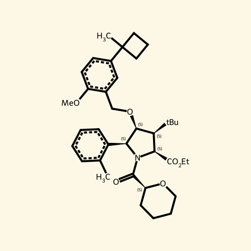 CCOC(=O)[C@@H]1[C@H](C(C)(C)C)[C@H](OCc2cc(C3(C)CCC3)ccc2OC)[C@H](c2ccccc2C)N1C(=O)[C@@H]1CCCCO1